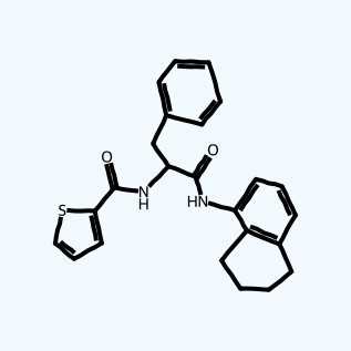 O=C(NC(Cc1ccccc1)C(=O)Nc1cccc2c1CCCC2)c1cccs1